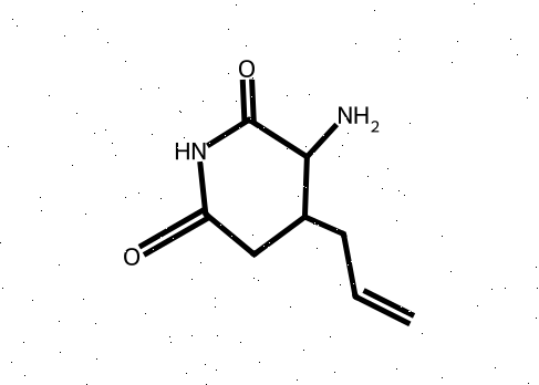 C=CCC1CC(=O)NC(=O)C1N